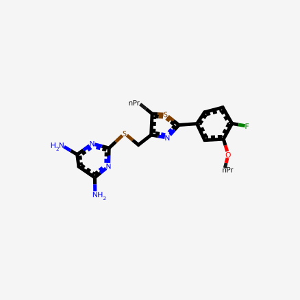 CCCOc1cc(-c2nc(CSc3nc(N)cc(N)n3)c(CCC)s2)ccc1F